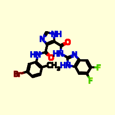 Cc1ccc(Br)cc1NC(=O)c1nc[nH]c1C(=O)Nc1nc2cc(F)c(F)cc2[nH]1